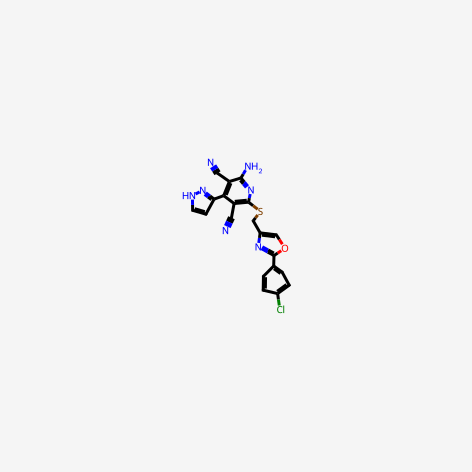 N#Cc1c(N)nc(SCc2coc(-c3ccc(Cl)cc3)n2)c(C#N)c1-c1cc[nH]n1